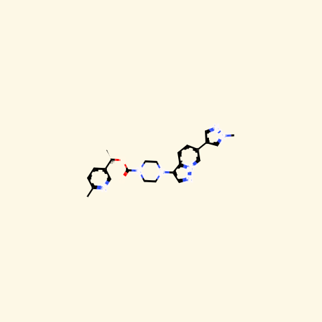 Cc1ccc([C@@H](C)OC(=O)N2CCN(c3cnn4cc(-c5cnn(C)c5)ccc34)CC2)cn1